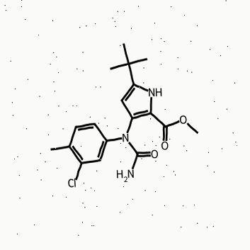 COC(=O)c1[nH]c(C(C)(C)C)cc1N(C(N)=O)c1ccc(C)c(Cl)c1